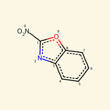 O=[N+]([O-])c1nc2ccccc2o1